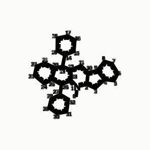 Cn1c2cc3ccccc3c-2cc2c(-c3ccccc3)c3ccccc3c(-c3ccccc3)c21